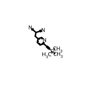 C[Si](C)(C)C#Cc1ccc(CC(C#N)C#N)cn1